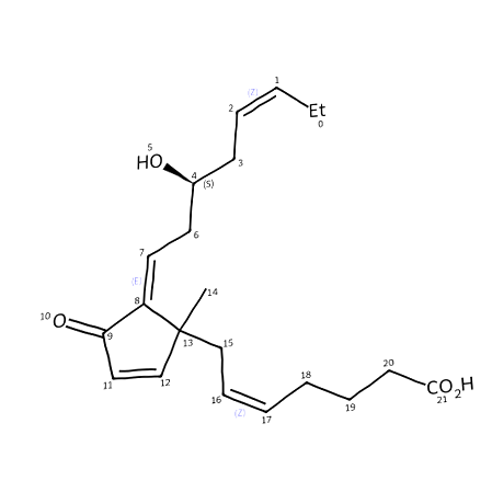 CC/C=C\C[C@H](O)C/C=C1/C(=O)C=CC1(C)C/C=C\CCCC(=O)O